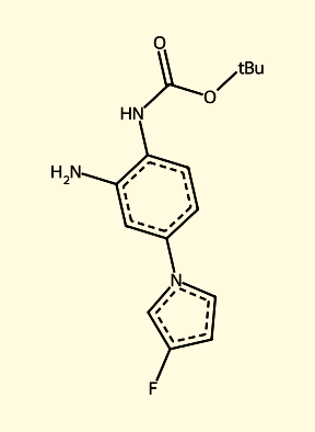 CC(C)(C)OC(=O)Nc1ccc(-n2ccc(F)c2)cc1N